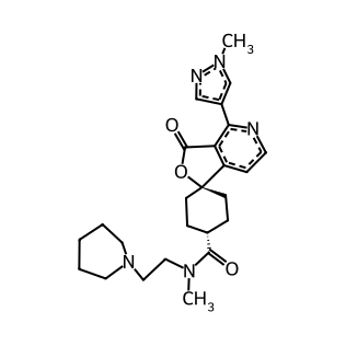 CN(CCN1CCCCC1)C(=O)[C@H]1CC[C@@]2(CC1)OC(=O)c1c(-c3cnn(C)c3)nccc12